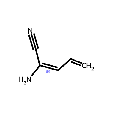 C=C/C=C(/N)C#N